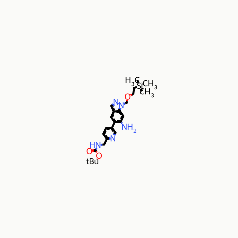 CC(C)(C)OC(=O)NCc1ccc(-c2cc3cnn(COCC[Si](C)(C)C)c3cc2N)cn1